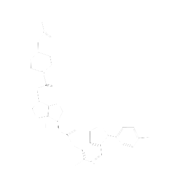 Cc1ncc2c(c1OC(=O)O[C@@H]1COC3C(OC(=O)N4CCC(O[N+](=O)[O-])CC4)CO[C@@H]31)COC2c1ccc(Cl)cc1